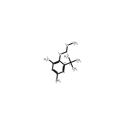 Bc1cc(C)c(OCOC)c(C(C)(C)C)c1